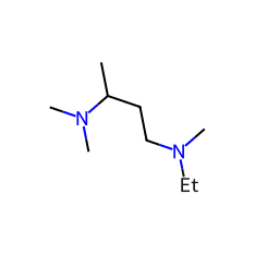 CCN(C)CCC(C)N(C)C